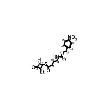 CCC1C(=O)NC1SC(=O)CCCNC(=O)OCc1ccc([N+](=O)[O-])cc1